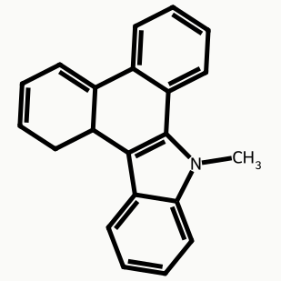 Cn1c2c(c3ccccc31)C1CC=CC=C1c1ccccc1-2